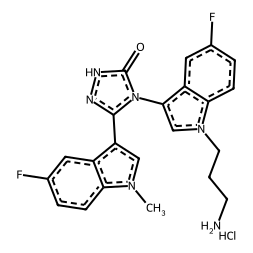 Cl.Cn1cc(-c2n[nH]c(=O)n2-c2cn(CCCN)c3ccc(F)cc23)c2cc(F)ccc21